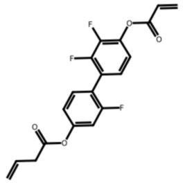 C=CCC(=O)Oc1ccc(-c2ccc(OC(=O)C=C)c(F)c2F)c(F)c1